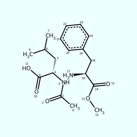 CC(=O)N[C@@H](CC(C)C)C(=O)O.COC(=O)[C@@H](N)Cc1ccccc1